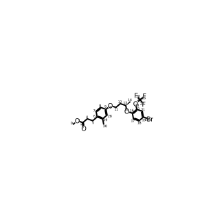 COC(=O)CCc1ccc(OCC[C@@H](C)Oc2ccc(Br)cc2OC(F)(F)F)cc1C